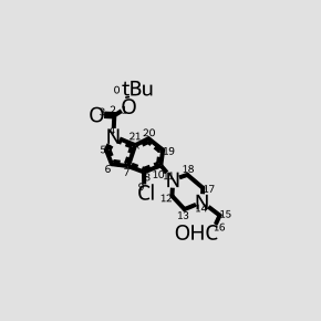 CC(C)(C)OC(=O)n1ccc2c(Cl)c(N3CCN(CC=O)CC3)ccc21